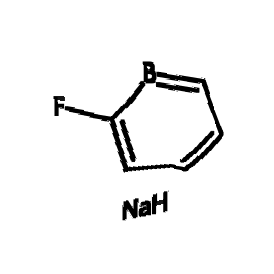 Fc1bcccc1.[NaH]